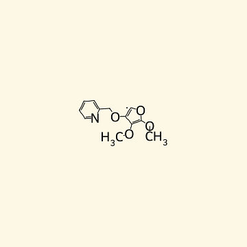 COc1o[c]c(OCc2ccccn2)c1OC